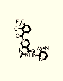 CNc1cccnc1NOc1nc(C)nc2c1CCN(C(=O)c1cccc(C(F)(F)F)c1Cl)C2